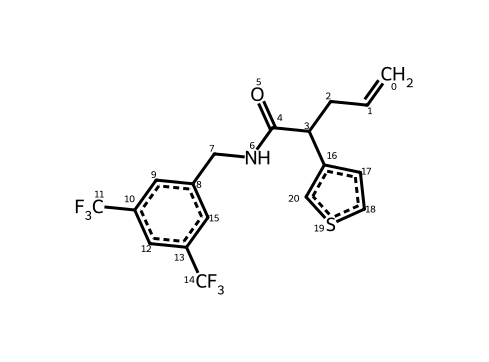 C=CCC(C(=O)NCc1cc(C(F)(F)F)cc(C(F)(F)F)c1)c1ccsc1